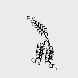 FC(CC(F)(F)F)C(F)(F)C(F)(F)C(F)(F)C(F)(F)OCCN(CCOC(F)(F)C(F)(F)C(F)(F)C(F)(F)C(F)CC(F)(F)F)CCOC(F)(F)C(F)(F)C(F)(F)C(F)(F)C(F)CC(F)(F)F